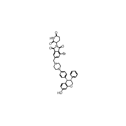 O=C1CCC(N2C(=O)c3cc(CN4CCN(c5ccc([C@@H]6c7ccc(O)cc7OC[C@@H]6c6ccccc6)cc5)CC4)cc(Br)c3C2=O)C(=O)N1